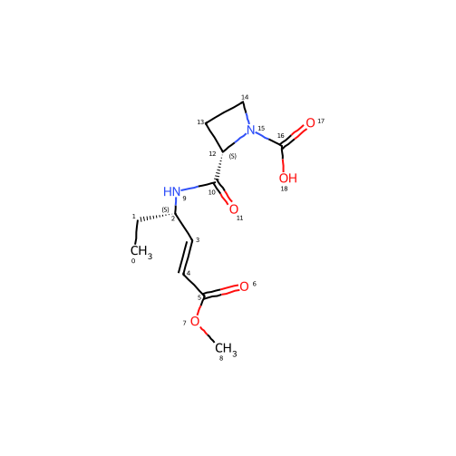 CC[C@@H](C=CC(=O)OC)NC(=O)[C@@H]1CCN1C(=O)O